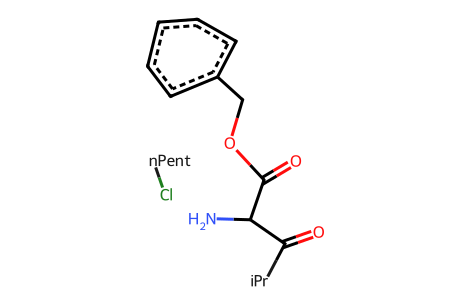 CC(C)C(=O)C(N)C(=O)OCc1ccccc1.CCCCCCl